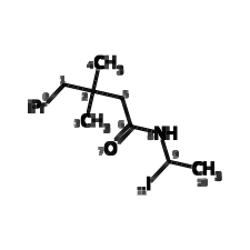 CC(C)CC(C)(C)CC(=O)NC(C)I